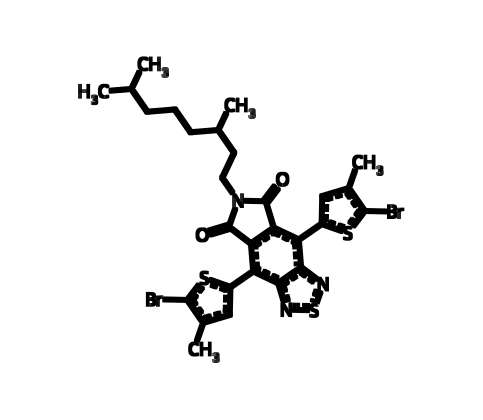 Cc1cc(-c2c3c(c(-c4cc(C)c(Br)s4)c4nsnc24)C(=O)N(CCC(C)CCCC(C)C)C3=O)sc1Br